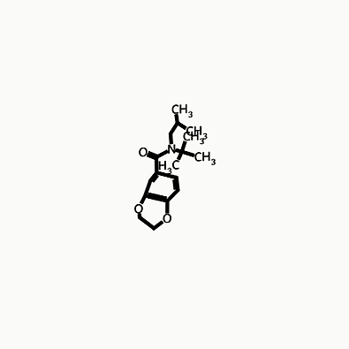 CC(C)CN(C(=O)c1ccc2c(c1)OCCO2)C(C)(C)C